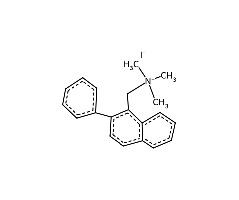 C[N+](C)(C)Cc1c(-c2ccccc2)ccc2ccccc12.[I-]